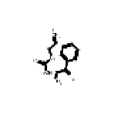 C=CCOC(=O)O.CCC(=O)c1ccccc1